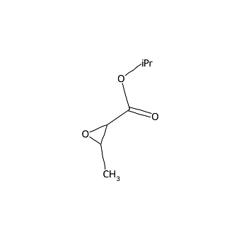 CC(C)OC(=O)C1OC1C